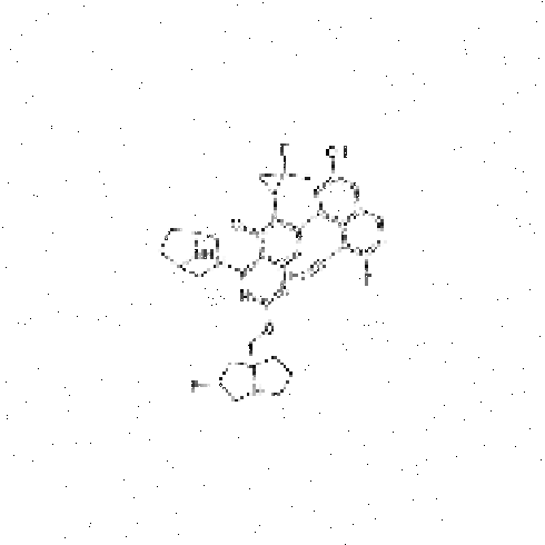 C#Cc1c(F)ccc2cc(O)cc(-c3cc4nc(OC[C@@]56CCCN5C[C@H](F)C6)nc(N5CC6CCC(C5)N6)c4c(=O)n3C3CC3(F)F)c12